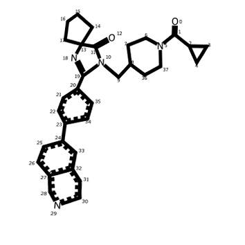 O=C(C1CC1)N1CCC(CN2C(=O)C3(CCCC3)N=C2c2ccc(-c3ccc4cnccc4c3)cc2)CC1